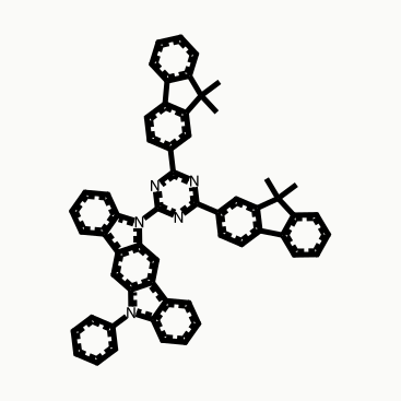 CC1(C)c2ccccc2-c2ccc(-c3nc(-c4ccc5c(c4)C(C)(C)c4ccccc4-5)nc(-n4c5ccccc5c5cc6c(cc54)c4ccccc4n6-c4ccccc4)n3)cc21